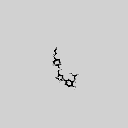 FCCOc1cnc(OCc2cn(-c3ccc(Cl)c(OC(F)F)c3)nn2)nc1